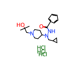 CC(C)(O)CN1CCC(N(CC2CC2)NC(=O)c2ccccc2)CC1.Cl.Cl.Cl